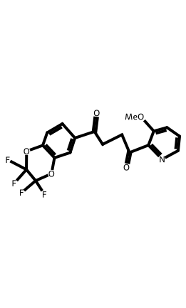 COc1cccnc1C(=O)CCC(=O)c1ccc2c(c1)OC(F)(F)C(F)(F)O2